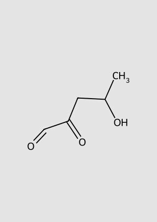 CC(O)CC(=O)C=O